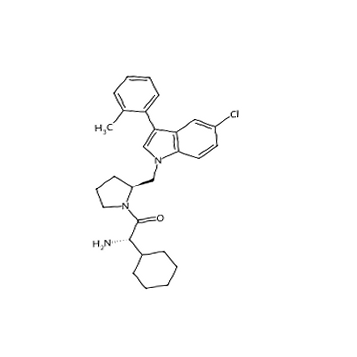 Cc1ccccc1-c1cn(C[C@@H]2CCCN2C(=O)[C@@H](N)C2CCCCC2)c2ccc(Cl)cc12